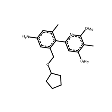 COc1cc(-c2c(C)cc(N)cc2COC2CCCC2)nc(OC)c1C